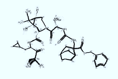 CC(C)(C)[C@H](NC(=O)NC1(C(=O)OCc2ccccc2)CC2CCC1C2)C(=O)N1C[C@H]2[C@@H]([C@H]1C(=O)NC(CC1CC1)C(=O)C(N)=O)C2(C)C